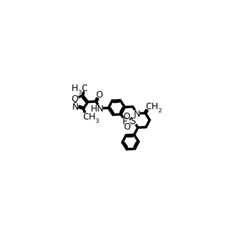 C=C1CCC(c2ccccc2)S(=O)(=O)N1Cc1ccc(NC(=O)c2c(C)noc2C)cc1F